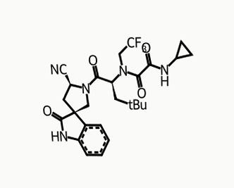 CC(C)(C)C[C@@H](C(=O)N1C[C@]2(C[C@H]1C#N)C(=O)Nc1ccccc12)N(CC(F)(F)F)C(=O)C(=O)NC1CC1